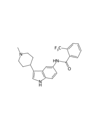 CN1CCC(c2c[nH]c3ccc(NC(=O)c4ccccc4C(F)(F)F)cc23)CC1